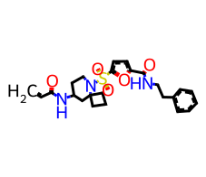 C=CC(=O)NC1CCN(S(=O)(=O)c2ccc(C(=O)NCCc3ccccc3)o2)C2(CCC2)C1